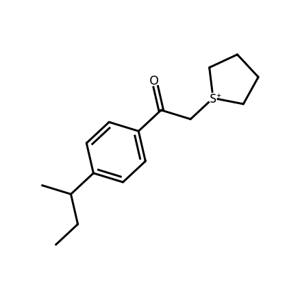 CCC(C)c1ccc(C(=O)C[S+]2CCCC2)cc1